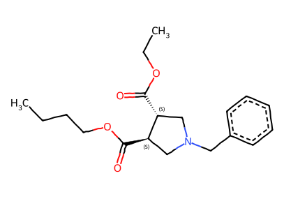 CCCCOC(=O)[C@@H]1CN(Cc2ccccc2)C[C@H]1C(=O)OCC